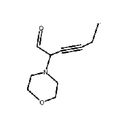 [CH2]CC#CC(C=O)N1CCOCC1